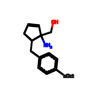 CCCCCCCCc1ccc(CC2CC=CC2(N)CO)cc1